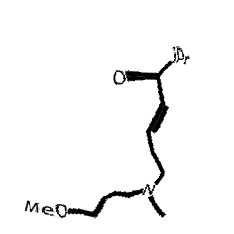 COCCN(C)C/C=C/C(=O)C(C)C